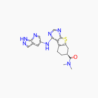 CN(C)C(=O)[C@H]1CCc2c(sc3ncnc(Nc4cnc5[nH]ncc5c4)c23)C1